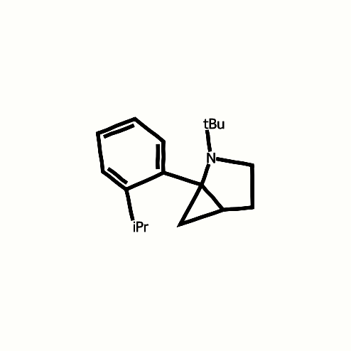 CC(C)c1ccccc1C12CC1CCN2C(C)(C)C